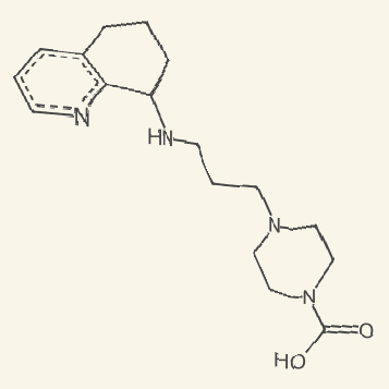 O=C(O)N1CCN(CCCNC2CCCc3cccnc32)CC1